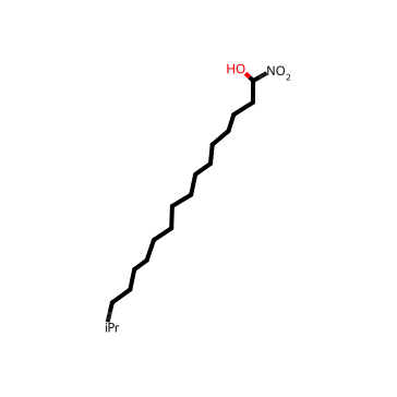 CC(C)CCCCCCCCCCCCCCC(O)[N+](=O)[O-]